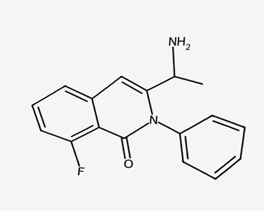 CC(N)c1cc2cccc(F)c2c(=O)n1-c1ccccc1